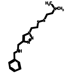 CN(C)CCSSCCn1cc(CNCc2ccccc2)nn1